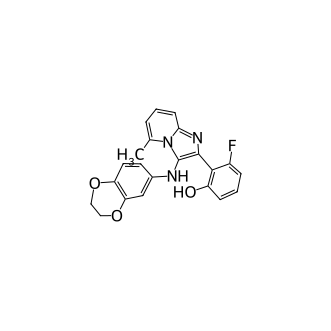 Cc1cccc2nc(-c3c(O)cccc3F)c(Nc3ccc4c(c3)OCCO4)n12